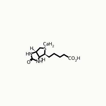 O=C(O)CCCC[C@@H]1SC[C@@H]2NC(=O)N[C@@H]21.[CaH2]